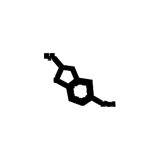 CCCCCc1ccc2c(c1)CC(N)O2